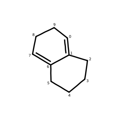 C1=C2CCCCC2=CCC1